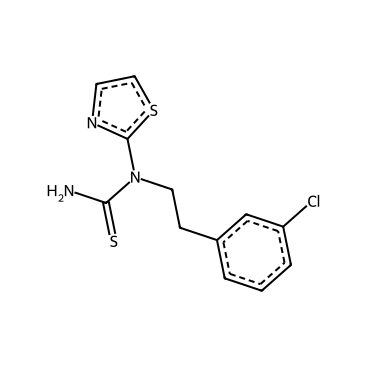 NC(=S)N(CCc1cccc(Cl)c1)c1nccs1